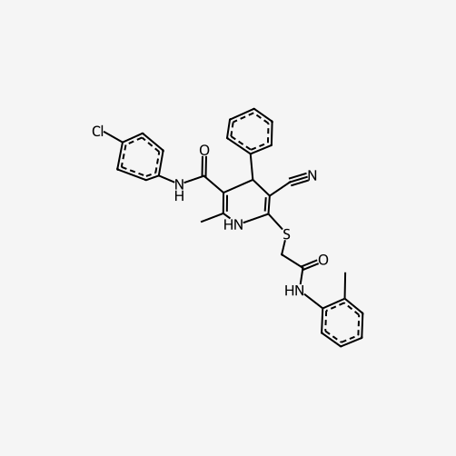 CC1=C(C(=O)Nc2ccc(Cl)cc2)C(c2ccccc2)C(C#N)=C(SCC(=O)Nc2ccccc2C)N1